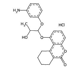 CC(O)C(Oc1cccc(N)c1)Oc1cccc2oc(=O)c3c(c12)CCCC3.Cl